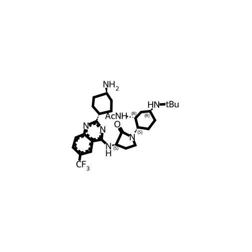 CC(=O)N[C@@H]1C[C@H](NC(C)(C)C)CC[C@@H]1N1CC[C@H](Nc2nc([C@H]3CC[C@H](N)CC3)nc3ccc(C(F)(F)F)cc23)C1=O